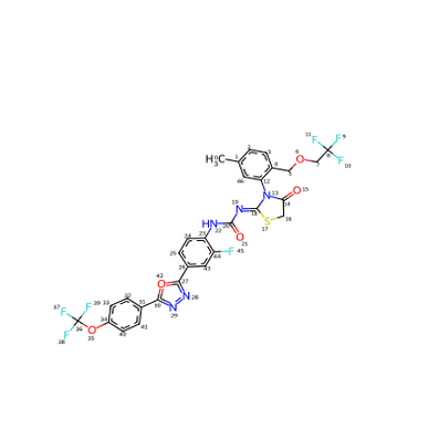 Cc1ccc(COCC(F)(F)F)c(N2C(=O)CS/C2=N\C(=O)Nc2ccc(-c3nnc(-c4ccc(OC(F)(F)F)cc4)o3)cc2F)c1